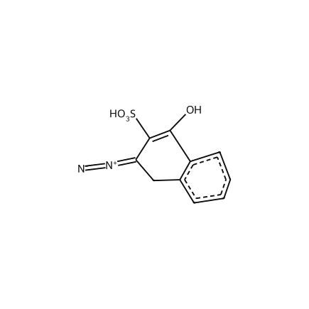 [N-]=[N+]=C1Cc2ccccc2C(O)=C1S(=O)(=O)O